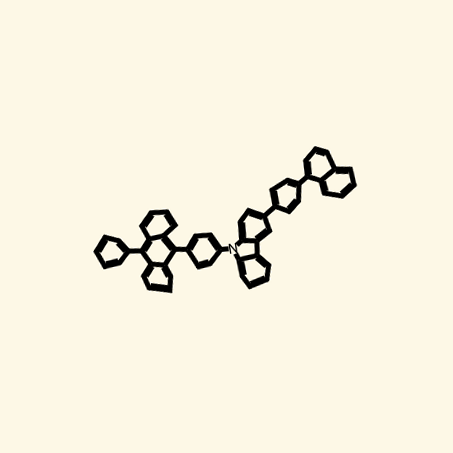 c1ccc(-c2c3ccccc3c(-c3ccc(-n4c5ccccc5c5cc(-c6ccc(-c7cccc8ccccc78)cc6)ccc54)cc3)c3ccccc23)cc1